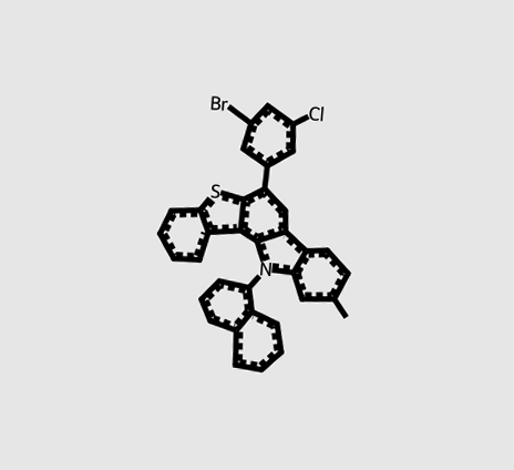 Cc1ccc2c3cc(-c4cc(Cl)cc(Br)c4)c4sc5ccccc5c4c3n(-c3cccc4ccccc34)c2c1